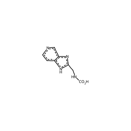 O=C(O)NCc1nc2cnccc2[nH]1